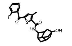 Cc1cc(C(=O)c2ccccc2F)sc1C(=O)NC1C2CC3CC1CC(O)(C3)C2